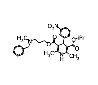 CC1=C(C(=O)OCCCN(C)Cc2ccccc2)C(c2cccc([N+](=O)[O-])c2)C(C(=O)OC(C)C)=C(C)N1